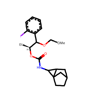 CC[C@H](OC(=O)NC1C2CC3CCC21C3)C(OCOC)c1ccccc1I